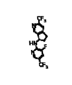 Fc1cc(C(F)(F)F)cnc1NC1CCc2cc(C(F)(F)F)ncc21